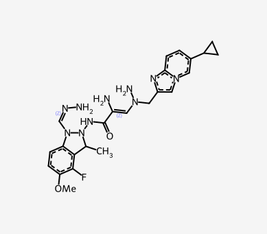 COc1ccc2c(c1F)C(C)N(NC(=O)/C(N)=C/N(N)Cc1cn3cc(C4CC4)ccc3n1)N2/C=N\N